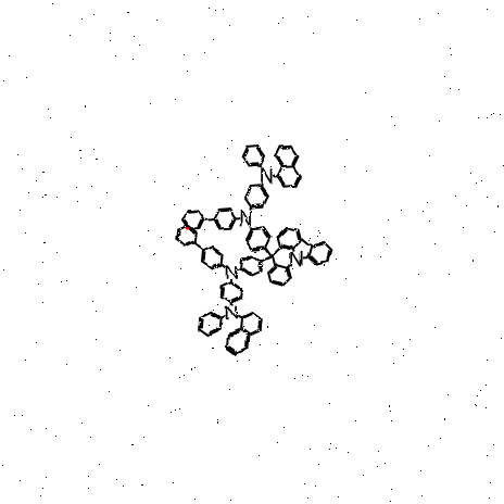 c1ccc(-c2ccc(N(c3ccc(N(c4ccccc4)c4cccc5ccccc45)cc3)c3ccc(C4(c5ccc(N(c6ccc(-c7ccccc7)cc6)c6ccc(N(c7ccccc7)c7cccc8ccccc78)cc6)cc5)c5ccccc5-n5c6ccccc6c6cccc4c65)cc3)cc2)cc1